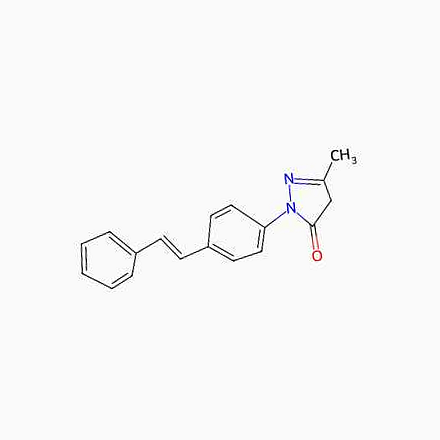 CC1=NN(c2ccc(C=Cc3ccccc3)cc2)C(=O)C1